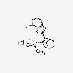 CN(C)CC1=C(c2cc3cccc(F)c3s2)C2CCC(C1)C2.Cl